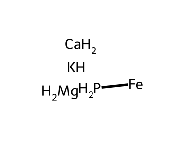 [CaH2].[KH].[MgH2].[PH2][Fe]